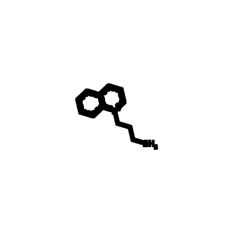 [SiH3]CCC[n+]1cccc2ccccc21